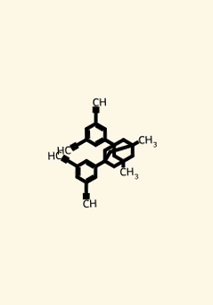 C#Cc1cc(C#C)cc(C23CC4(C)CC(C)(C2)CC(c2cc(C#C)cc(C#C)c2)(C4)C3)c1